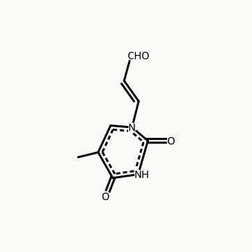 Cc1cn(/C=C/C=O)c(=O)[nH]c1=O